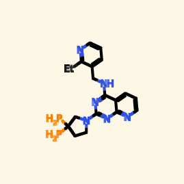 CCc1ncccc1CNc1nc(N2CCC(P)(P)C2)nc2ncccc12